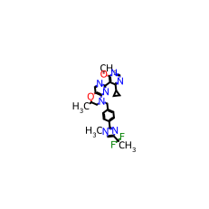 COc1ncnc(C2CC2)c1-c1ncc2c(n1)N(Cc1ccc(-c3nc(C(C)(F)F)cn3C)cc1)CC(C)O2